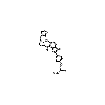 CNC(=O)COc1ccc(-c2nc3c(NC4CCN(Cc5ccsc5)C4)c(Cl)cnc3[nH]2)cc1